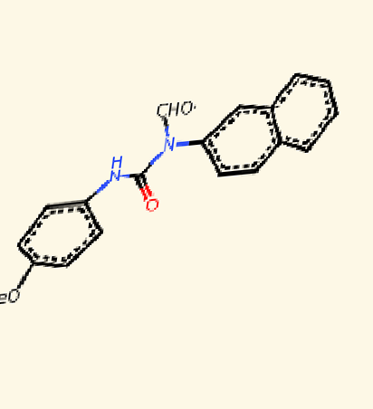 COc1ccc(NC(=O)N([C]=O)c2ccc3ccccc3c2)cc1